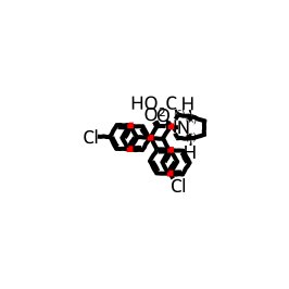 O=C(O)[C@@H]1[C@H]2CC[C@@H](CN1C(=O)C(c1ccc(Cl)cc1)c1ccc(Cl)cc1)N2C(=O)C(c1ccccc1)c1ccccc1